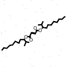 CCCCCCCCC(OC(=O)/C=C/C(=O)OC(CCCCCCCC)C(C)C)C(C)C